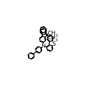 CC1(C)c2ccccc2-c2ccc(N(c3ccc(-c4ccccc4)cc3)c3cccc4sc5ccc(-c6ccccc6)cc5c34)cc21